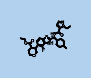 CCOC(=O)C1CCOCC1c1ccc2nc([C@@H](NC(=O)c3ccnn3CC)C3CCC(C)CC3)[nH]c2c1F